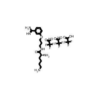 N=C(N)c1cccc(OCCCNC(=O)[C@@H](N)CCCCN)c1.O=C(O)C(F)(F)F.O=C(O)C(F)(F)F.O=C(O)C(F)(F)F